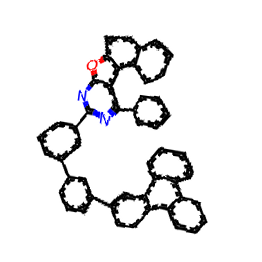 c1ccc(-c2nc(-c3cccc(-c4cccc(-c5ccc6c7ccccc7c7ccccc7c6c5)c4)c3)nc3oc4ccc5ccccc5c4c23)cc1